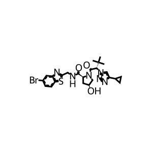 CC(C)(C)[C@@H](C(=O)N1C[C@H](O)C[C@H]1C(=O)NCc1nc2cc(Br)ccc2s1)n1cc(C2CC2)nn1